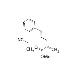 C=C(CC=Cc1ccccc1)C(=O)OC.C=CC#N